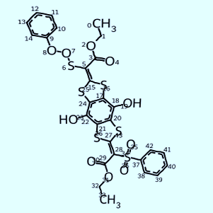 CCOC(=O)C(SOOc1ccccc1)=C1Sc2c(O)c3c(c(O)c2S1)SC(=C(C(=O)OCC)S(=O)(=O)c1ccccc1)S3